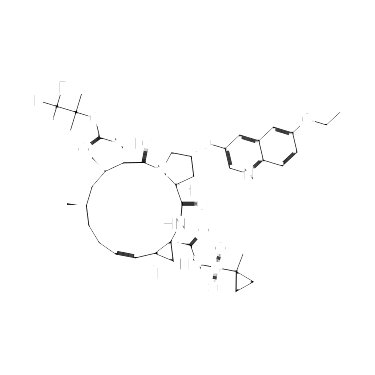 CCOc1ccc2ncc(O[C@@H]3C[C@H]4C(=O)N[C@]5(C(=O)NS(=O)(=O)C6(C)CC6)C[C@H]5/C=C\CC[C@@H](C)C[C@@H](C)[C@H](NC(=O)OC(C)(C)C(F)(F)F)C(=O)N4C3)cc2c1